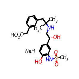 CC(C)(Cc1cccc(CC(=O)O)c1)NC[C@H](O)c1ccc(O)c(NS(C)(=O)=O)c1.[NaH]